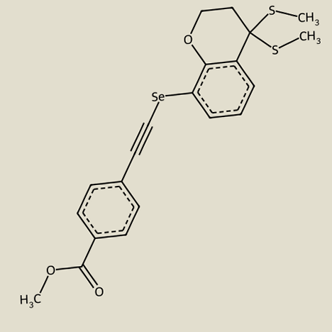 COC(=O)c1ccc(C#C[Se]c2cccc3c2OCCC3(SC)SC)cc1